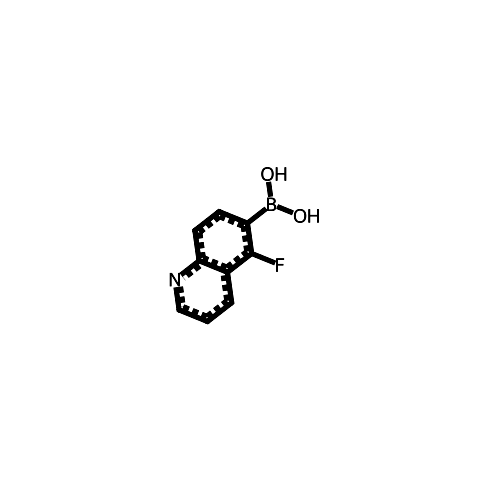 OB(O)c1ccc2ncccc2c1F